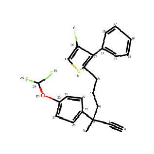 C#CC(C)(CCCc1scc(F)c1-c1ccccc1)c1ccc(OC(F)F)cc1